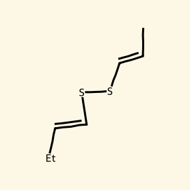 CC=CSSC=CCC